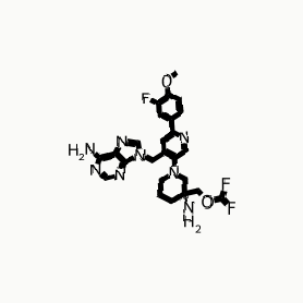 COc1ccc(-c2cc(Cn3cnc4c(N)ncnc43)c(N3CCC[C@](N)(COC(F)F)C3)cn2)cc1F